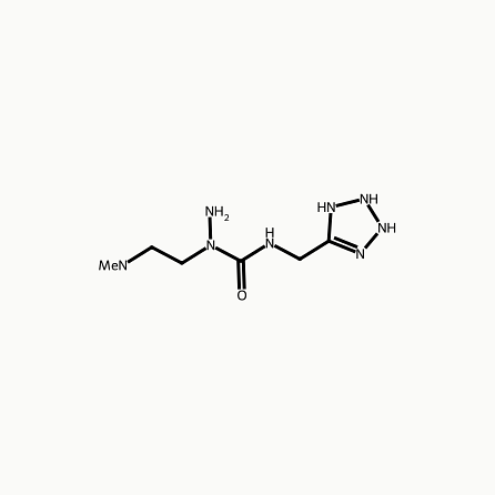 CNCCN(N)C(=O)NCC1=NNNN1